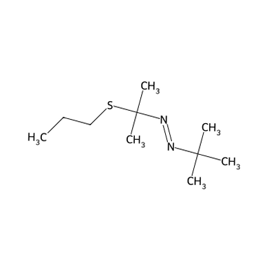 CCCSC(C)(C)N=NC(C)(C)C